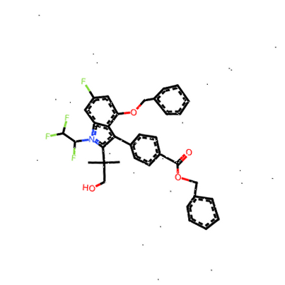 CC(C)(CO)c1c(-c2ccc(C(=O)OCc3ccccc3)cc2)c2c(OCc3ccccc3)cc(F)cc2n1C(F)C(F)F